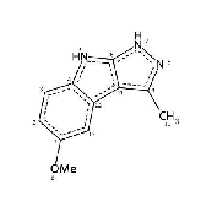 COc1ccc2[nH]c3[nH]nc(C)c3c2c1